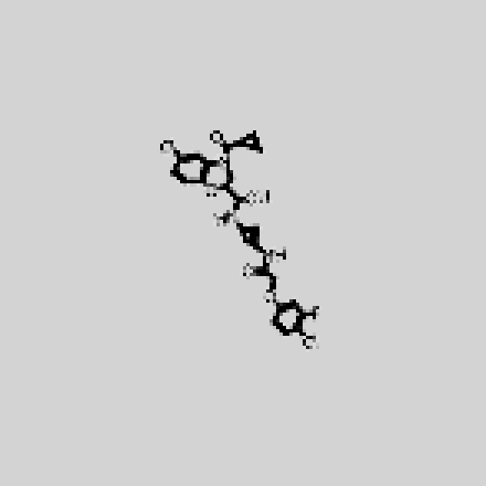 O=C(COc1ccc(Cl)c(F)c1)NC12CC(NC(O)C3CN(C(=O)C4CC4)c4cc(Cl)ccc4O3)(C1)C2